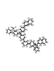 CC1(C)c2ccccc2-c2ccc(N(c3ccc(-c4cccc(-c5ccc6c(c5)c5ccccc5n6-c5ccc6ccccc6c5)c4)cc3)c3ccc(-c4ccc5ccccc5c4)cc3)cc21